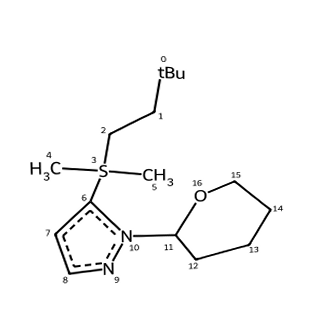 CC(C)(C)CCS(C)(C)c1ccnn1C1CCCCO1